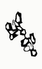 c1ccc2c(c1)N=C1C2c2ccc(-c3ccc4c5c3c3ccccc3n5-c3ccccc3O4)cc2C12c1ccccc1-c1ccccc12